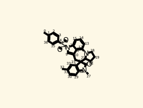 Cc1ccc(S(=O)(=O)n2cc3c4c(cccc42)N2CCCC2C2(C3)C(=O)N(C)c3ccc(C)cc32)cc1